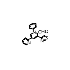 O=CC1C(c2cscn2)=CC(c2ccccn2)=CN1c1ccccc1